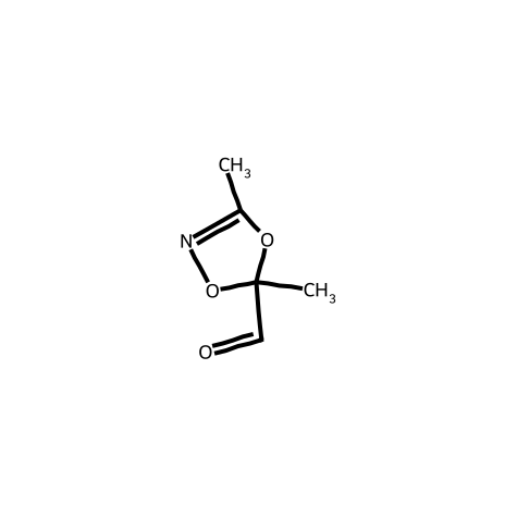 CC1=NOC(C)(C=O)O1